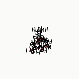 CC(=O)N[C@@H](CCCNC(=N)N)C(=O)N[C@H]1CSC2(CNC(=N)N)C[C@H](NC(=O)[C@@H](Cc3ccccc3)NC(=O)[C@H](Cc3cnc[nH]3)NC(=O)[C@@H](C)NC1=O)C(=O)N[C@@H](Cc1c[nH]c3ccccc13)C(=O)N[C@H](C(N)=O)CS2